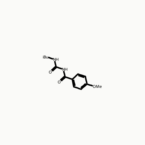 CCC(C)NC(=O)NC(=O)c1ccc(OC)cc1